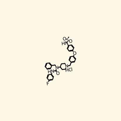 CS(=O)(=O)Nc1ccc(Oc2ccc(CN3CCC(N(Cc4ccccc4)C(=O)Nc4ccc(F)cc4)CC3)cc2)cc1.Cl